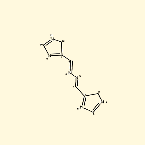 C1=NCC(C=NN=CC2=NC=NC2)=N1